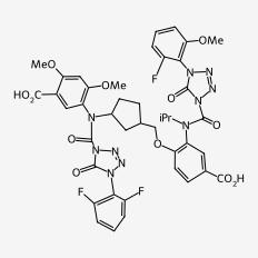 COc1cc(OC)c(N(C(=O)n2nnn(-c3c(F)cccc3F)c2=O)C2CCC(COc3ccc(C(=O)O)cc3N(C(=O)n3nnn(-c4c(F)cccc4OC)c3=O)C(C)C)C2)cc1C(=O)O